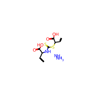 C=CC(NC(=S)SC(C=C)C(=O)O)C(=O)O.N.N